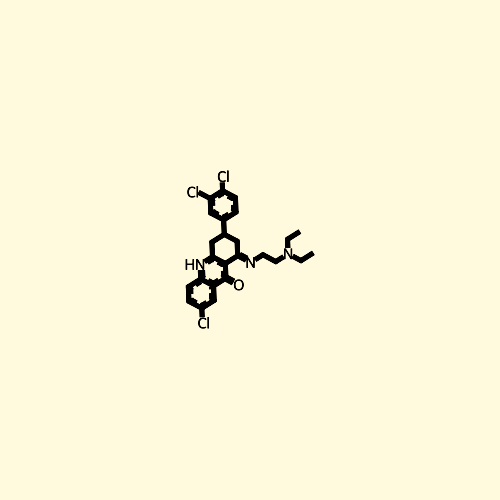 CCN(CC)CC/N=C1\CC(c2ccc(Cl)c(Cl)c2)Cc2[nH]c3ccc(Cl)cc3c(=O)c21